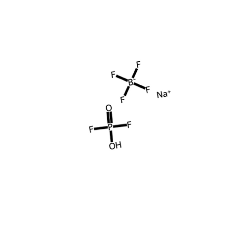 F[B-](F)(F)F.O=P(O)(F)F.[Na+]